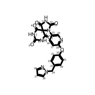 O=C1NC(=O)C2(C(=O)N1)C(=O)NC(=O)N2c1ccc(Oc2ccc(Cn3cccn3)cc2)nc1